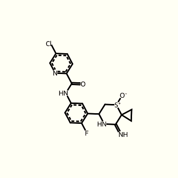 N=C1NC(c2cc(NC(=O)c3ccc(Cl)cn3)ccc2F)C[S+]([O-])C12CC2